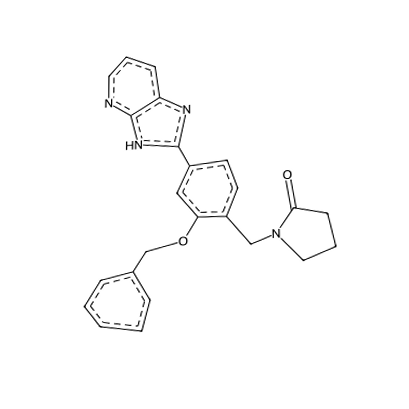 O=C1CCCN1Cc1ccc(-c2nc3cccnc3[nH]2)cc1OCc1ccccc1